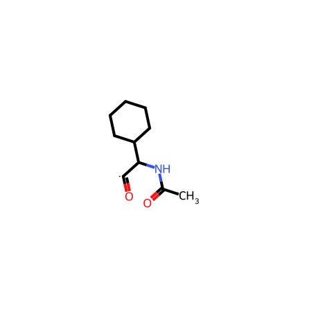 CC(=O)NC([C]=O)C1CCCCC1